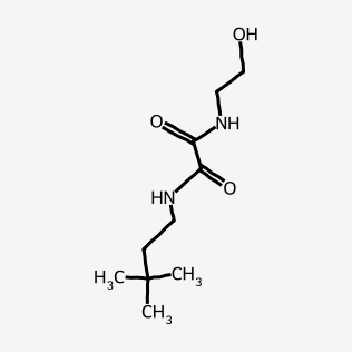 CC(C)(C)CCNC(=O)C(=O)NCCO